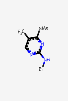 CCNc1ncc(C(F)(F)F)c(NC)n1